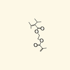 C=C(C)C(=O)OCCOC(=O)C(=C(C)C)C(C)C